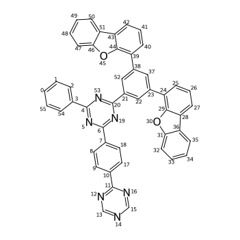 c1ccc(-c2nc(-c3ccc(-c4ncncn4)cc3)nc(-c3cc(-c4cccc5c4oc4ccccc45)cc(-c4cccc5c4oc4ccccc45)c3)n2)cc1